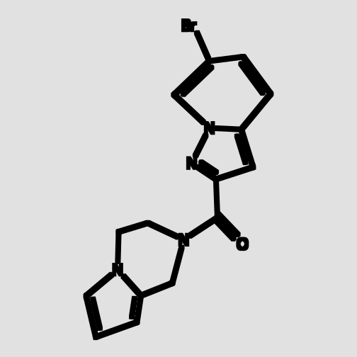 O=C(c1cc2ccc(Br)cn2n1)N1CCn2cccc2C1